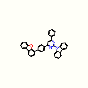 c1ccc(-c2cc(-c3ccc(-c4cccc5c4oc4ccccc45)cc3)nc(-n3c4ccccc4c4ccccc43)n2)cc1